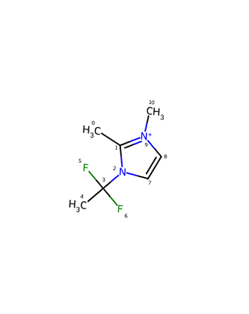 Cc1n(C(C)(F)F)cc[n+]1C